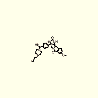 CCCCN1CCN(C(=N)c2ccc([C@]3(CN4Cc5ccc(OC)cc5C4=O)NC(=O)NC3=O)cc2)CC1